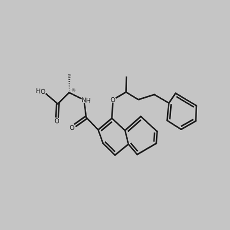 CC(CCc1ccccc1)Oc1c(C(=O)N[C@@H](C)C(=O)O)ccc2ccccc12